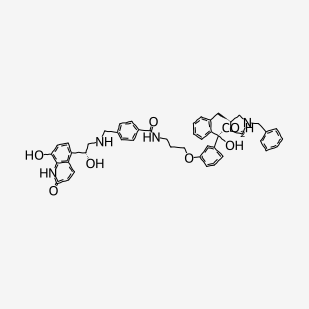 O=C(NCCCOc1cccc([C@@](O)(C(=O)O)c2ccccc2C[C@@H]2CCN(Cc3ccccc3)C2)c1)c1ccc(CNC[C@H](O)c2ccc(O)c3[nH]c(=O)ccc23)cc1